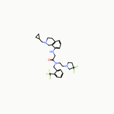 O=C(CNc1cccc2c1CN(CC1CC1)CC2)N(CCN1CCC(F)(F)C1)Cc1ccccc1C(F)(F)F